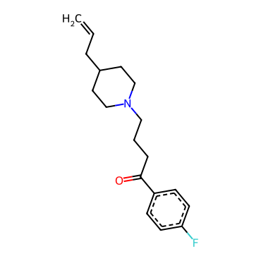 C=CCC1CCN(CCCC(=O)c2ccc(F)cc2)CC1